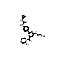 C[C@H]1COCCN1C(=O)c1cc(NCCO)nc(-c2ccc(NC(=O)NC3CC3)cc2)n1